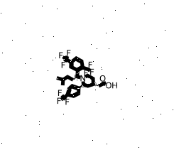 CC(C)CC[C@H](c1cc(C(F)(F)F)ccc1C(F)(F)F)N1CC[C@H](CC(=O)O)C[C@H]1c1ccc(C(F)(F)F)cc1